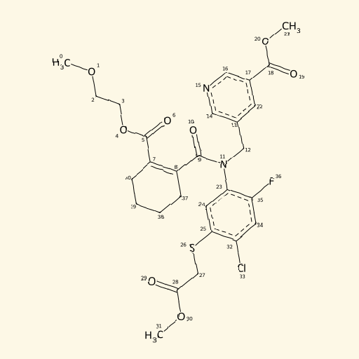 COCCOC(=O)C1=C(C(=O)N(Cc2cncc(C(=O)OC)c2)c2cc(SCC(=O)OC)c(Cl)cc2F)CCCC1